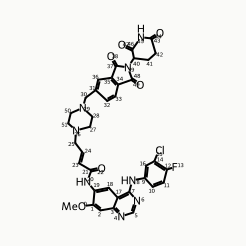 COc1cc2ncnc(Nc3ccc(F)c(Cl)c3)c2cc1NC(=O)/C=C/CN1CCN(Cc2ccc3c(c2)C(=O)N(C2CCC(=O)NC2=O)C3=O)CC1